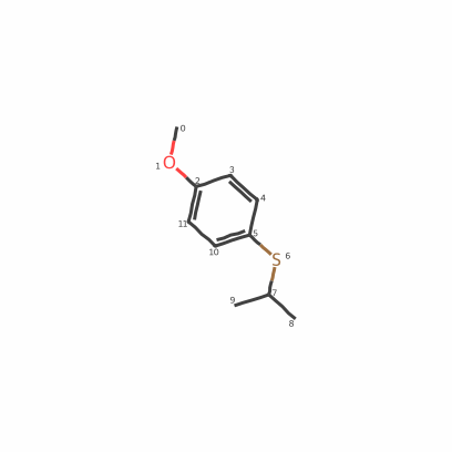 COc1ccc(SC(C)C)cc1